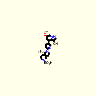 CCOc1cc(-c2ccc(N3CCC4(CCCN(C(=O)O)C4)[C@@H]3C(C)(C)C)nc2)c2c(C#N)cnn2c1